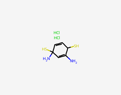 Cl.Cl.NC1=CC(N)(S)C=CC1S